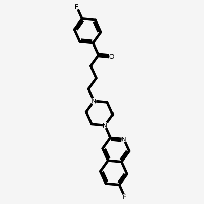 O=C(CCCN1CCN(c2cc3ccc(F)cc3cn2)CC1)c1ccc(F)cc1